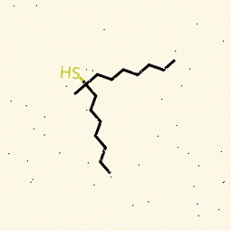 CCCCCCCC(C)(S)CCCCCCC